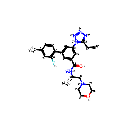 Cc1ccc(-c2cc(C(=O)N[C@@H](C)CN3CCOCC3)cc(-n3nnnc3CC(C)C)c2)c(F)c1